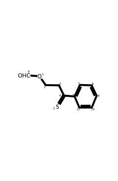 O=COCCC(=S)c1ccccc1